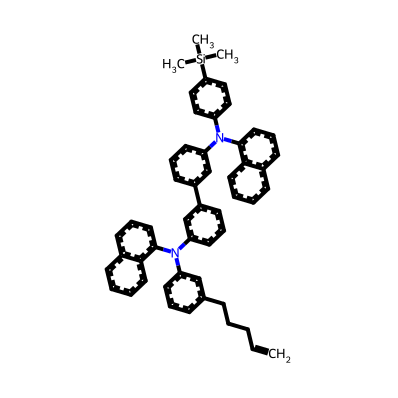 C=CCCCc1cccc(N(c2cccc(-c3cccc(N(c4ccc([Si](C)(C)C)cc4)c4cccc5ccccc45)c3)c2)c2cccc3ccccc23)c1